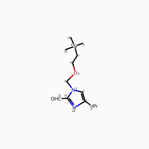 CCCc1cn(COCC[Si](C)(C)C)c(C=O)n1